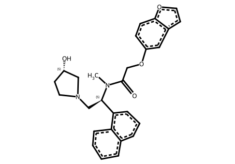 CN(C(=O)COc1ccc2occc2c1)[C@H](CN1CC[C@H](O)C1)c1cccc2ccccc12